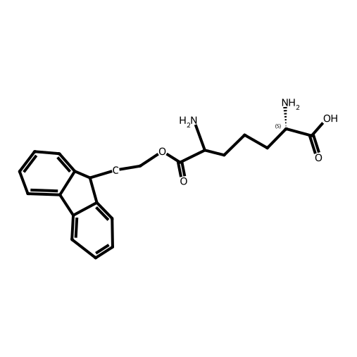 NC(CCC[C@H](N)C(=O)O)C(=O)OCCC1c2ccccc2-c2ccccc21